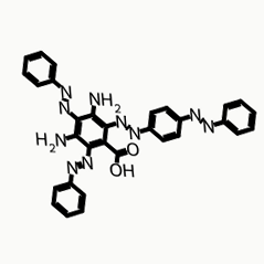 Nc1c(N=Nc2ccccc2)c(N)c(N=Nc2ccc(N=Nc3ccccc3)cc2)c(C(=O)O)c1N=Nc1ccccc1